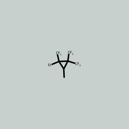 CCC1(C(F)(F)F)C(C)C1(C(F)(F)F)C(F)(F)F